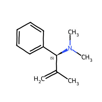 C=C(C)[C@@H](c1ccccc1)N(C)C